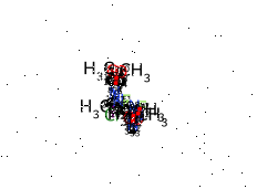 COc1ccc(CN(Cc2ccc(OC)cc2)c2cc(C)c(I)c(-c3c(Cl)cc4c(N5CC6CCC(C5)N6C(=O)OC(C)(C)C)nc(F)nc4c3F)n2)cc1